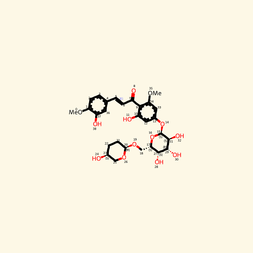 COc1ccc(/C=C/C(=O)c2c(O)cc(O[C@@H]3O[C@@H](CO[C@@H]4CC[C@H](O)CO4)[C@@H](O)[C@@H](O)[C@@H]3O)cc2OC)cc1O